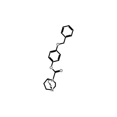 O=C(Oc1ccc(OCc2ccccc2)cc1)N1CCN2CCC1CC2